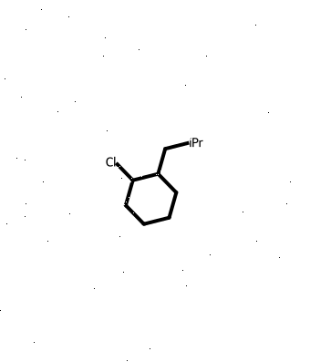 CC(C)CC1CCCCC1Cl